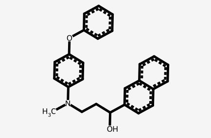 CN(CCC(O)c1ccc2ccccc2c1)c1ccc(Oc2ccccc2)cc1